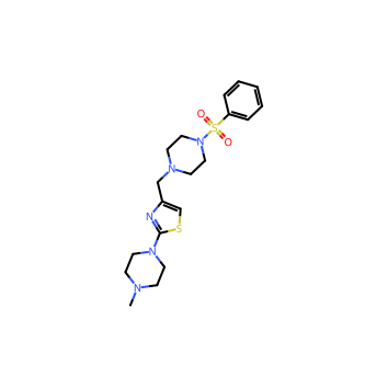 CN1CCN(c2nc(CN3CCN(S(=O)(=O)c4ccccc4)CC3)cs2)CC1